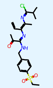 C=CC(/N=C(/NCc1ccc(S(=O)(=O)CC)cc1)C(C)=O)=C(C)\N=C(\Cl)C(C)C